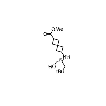 COC(=O)C1CC2(CC(N[C@@H](CO)CC(C)(C)C)C2)C1